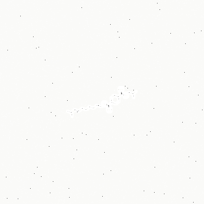 CC(C)CCCCCCCCOC(=O)C1CCC(C(=O)OCC(C)C)CC1